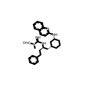 CN(C=O)C(=N)N[C@H](CCc1ccccc1)C[C@H]1CCC[C@@H](Nc2ccc3ccccc3n2)C1